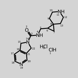 Cl.Cl.O=C(NCC1CC12CCNCC2)N1Cc2ccncc2C1